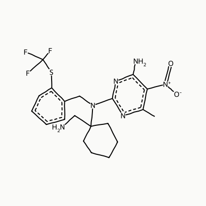 Cc1nc(N(Cc2ccccc2SC(F)(F)F)C2(CN)CCCCC2)nc(N)c1[N+](=O)[O-]